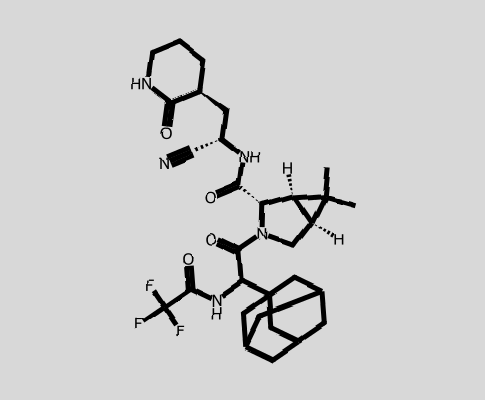 CC1(C)[C@@H]2[C@@H](C(=O)N[C@H](C#N)C[C@@H]3CCCNC3=O)N(C(=O)C(NC(=O)C(F)(F)F)C34CC5CC(CC(C5)C3)C4)C[C@@H]21